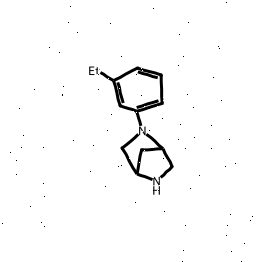 CCc1cccc(N2CC3CC2CN3)c1